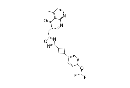 Cc1ccnc2ncn(Cc3nc(C4CC(c5ccc(OC(F)F)cc5)C4)no3)c(=O)c12